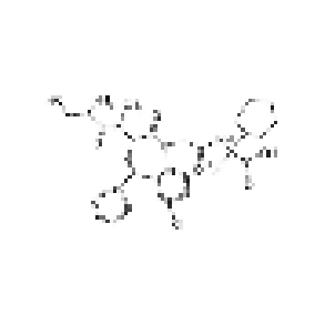 CN(C(=O)C(N)CS)C1N=C(c2ccccc2)c2cc(Cl)ccc2N(CC(=O)N[C@@](C)(C(=O)O)C2CCCCC2)C1=O